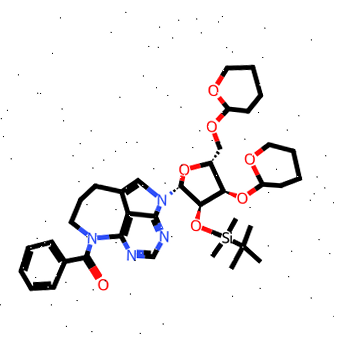 CC(C)(C)[Si](C)(C)O[C@@H]1[C@H](OC2CCCCO2)[C@@H](COC2CCCCO2)O[C@H]1n1cc2c3c(ncnc31)N(C(=O)c1ccccc1)CCC2